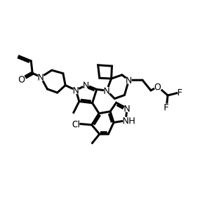 C=CC(=O)N1CCC(n2nc(N3CCN(CCOC(F)F)CC34CCC4)c(-c3c(Cl)c(C)cc4[nH]ncc34)c2C)CC1